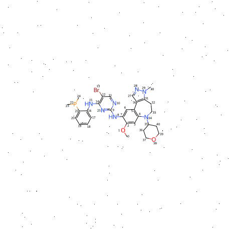 COc1cc2c(cc1Nc1ncc(Br)c(Nc3ccccc3P(C)C)n1)-c1cnn(C)c1CCN2C1CCOCC1